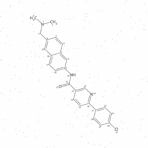 CN(C)Cc1ccc2cc(NC(=O)c3ccc(-c4ccc(Cl)cc4)nc3)ccc2c1